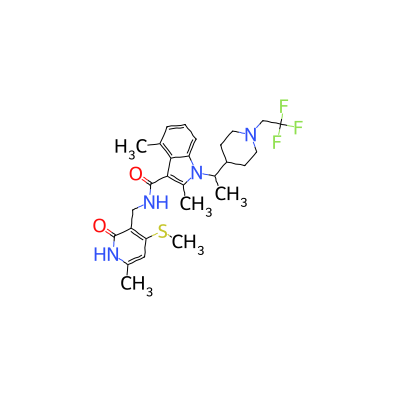 CSc1cc(C)[nH]c(=O)c1CNC(=O)c1c(C)n(C(C)C2CCN(CC(F)(F)F)CC2)c2cccc(C)c12